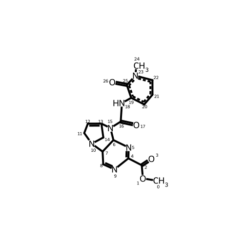 COC(=O)C1=NC2C(C=N1)N1CC=C(C1)N2C(=O)Nc1cccn(C)c1=O